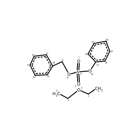 CCOCC.O=S(=O)(OCc1ccccc1)Oc1ccccc1